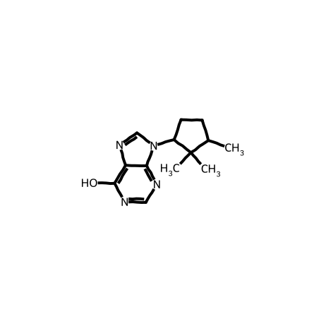 CC1CCC(n2cnc3c(O)ncnc32)C1(C)C